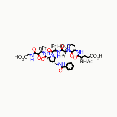 CCC[C@H](NC(=O)[C@@H]1C[C@@H](CNC(=O)c2ccccc2)CN1C(=O)[C@@H](NC(=O)[C@@H](NC(=O)[C@H](CCC(=O)O)NC(=O)[C@H](CCC(=O)O)NC(C)=O)C(C)C)C(C)C)C(=O)C(=O)NCC(=O)O